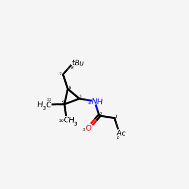 CC(=O)CC(=O)NC1C(CC(C)(C)C)C1(C)C